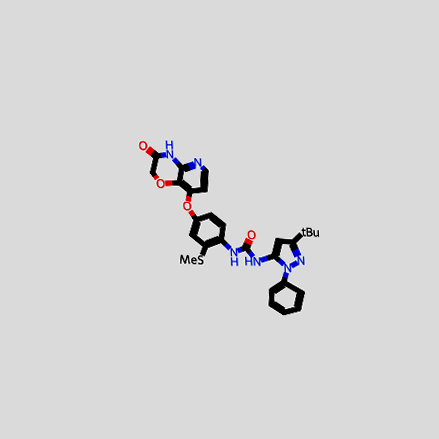 CSc1cc(Oc2ccnc3c2OCC(=O)N3)ccc1NC(=O)Nc1cc(C(C)(C)C)nn1-c1ccccc1